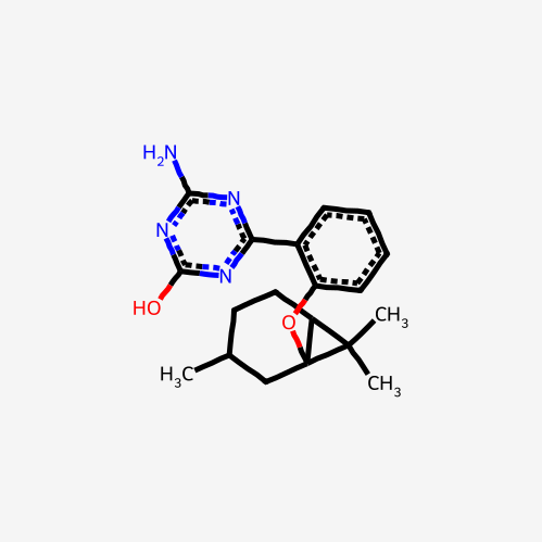 CC1CCC2C(C)(C)C2(Oc2ccccc2-c2nc(N)nc(O)n2)C1